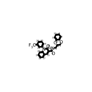 O=C(NCC1COc2ccccc2O1)c1cc2ccccc2n(-c2cccc(C(F)(F)F)c2)c1=O